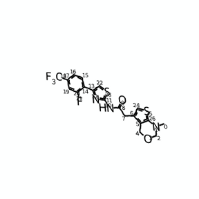 CN1COCc2c(CC(=O)Nc3nc(-c4ccc(C(F)(F)F)cc4F)cs3)csc21